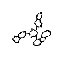 c1ccc2cc(-c3nc(-c4ccc5cnccc5c4)nc(-c4cccc5oc6ccccc6c45)n3)ccc2c1